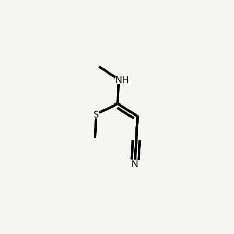 CNC(=CC#N)SC